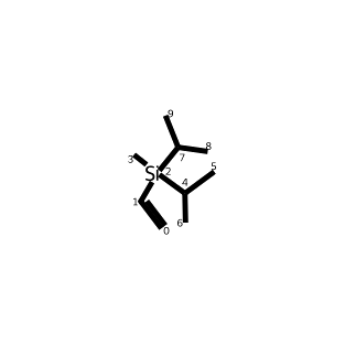 C=C[Si](C)(C(C)C)C(C)C